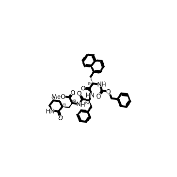 COC(=O)[C@H](C[C@@H]1CCCNC1=O)NC(=O)[C@H](Cc1ccccc1)NC(=O)[C@H](Cc1cccc2ccccc12)NC(=O)OCc1ccccc1